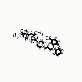 CC(C)(C)OCCC(C)(C)OC(=O)N1CCN(CCCN2c3ccccc3Sc3ccc(Cl)cc32)CC1